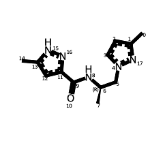 Cc1ccn(C[C@@H](C)NC(=O)c2cc(C)[nH]n2)n1